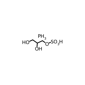 O=S(=O)(O)OCC(O)CO.P